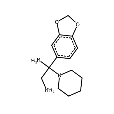 NCC(N)(c1ccc2c(c1)OCO2)N1CCCCC1